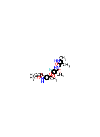 Cc1cc(C)c(CNC(=O)c2cc(F)c3c(c2C)OC(C)(C2CCC(NC(=O)OC(C)(C)C)CC2)O3)c(=O)[nH]1